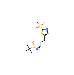 CC(C)(C)[S+]([O-])/N=C\CCc1cnc(S(C)(=O)=O)s1